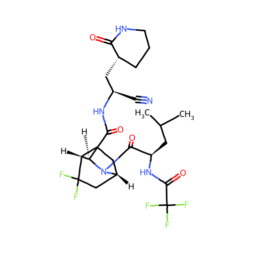 CC(C)C[C@@H](NC(=O)C(F)(F)F)C(=O)N1[C@@H]2CC[C@H]([C@H]1C(=O)N[C@H](C#N)C[C@H]1CCCNC1=O)C(F)(F)C2